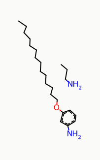 CCCCCCCCCCCCCCOc1cccc(N)c1.CCCN